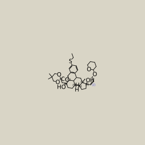 CCSc1ccc2c(c1)C[C@]13CCC4(C[C@]1(O)CC[C@@H]1C3C2C[C@@]2(C)[C@H]1CC[C@@]2(O)/C=C\COC1CCCCO1)OCC(C)(C)CO4